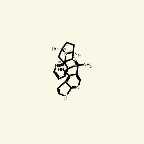 N#Cc1cccnc1N1[C@@H]2CC[C@H]1C[C@H](Nc1c(C(N)=O)cnc3[nH]ccc13)C2